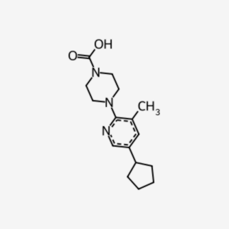 Cc1cc(C2CCCC2)cnc1N1CCN(C(=O)O)CC1